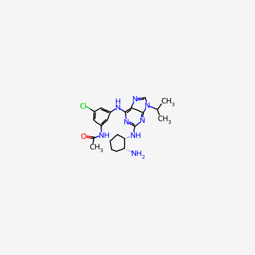 CC(=O)Nc1cc(Cl)cc(Nc2nc(N[C@H]3CCCC[C@H]3N)nc3c2ncn3C(C)C)c1